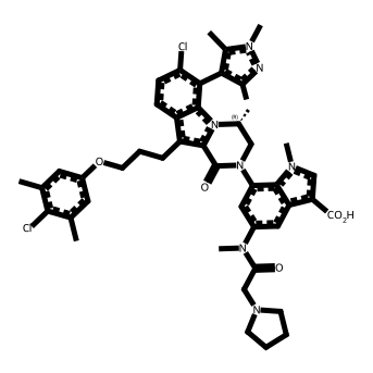 Cc1cc(OCCCc2c3n(c4c(-c5c(C)nn(C)c5C)c(Cl)ccc24)[C@H](C)CN(c2cc(N(C)C(=O)CN4CCCC4)cc4c(C(=O)O)cn(C)c24)C3=O)cc(C)c1Cl